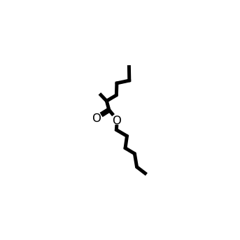 CCCCCCOC(=O)C(C)CCCC